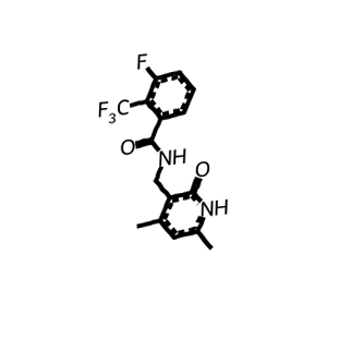 Cc1cc(C)c(CNC(=O)c2cccc(F)c2C(F)(F)F)c(=O)[nH]1